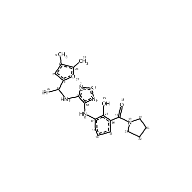 Cc1cc(C(Nc2nsnc2Nc2cccc(C(=O)N3CCCC3)c2O)C(C)C)oc1C